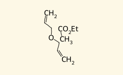 C=CCOCC=C.CCOC(C)=O